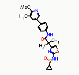 COc1ncc(-c2ccc(NC(=O)C(C)(C)c3csc(N[S+]([O-])C4CC4)n3)cc2)cc1C